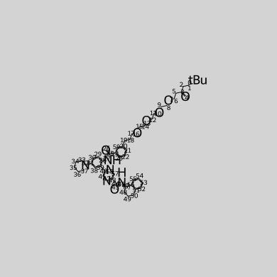 CC(C)(C)CCC(=O)CCOCCOCCOCCOCCCc1cccc(C(=O)Nc2ccc(N3CCCCC3)cc2-c2cnc(C(=O)N[C@H]3CCCc4ccccc43)cn2)c1